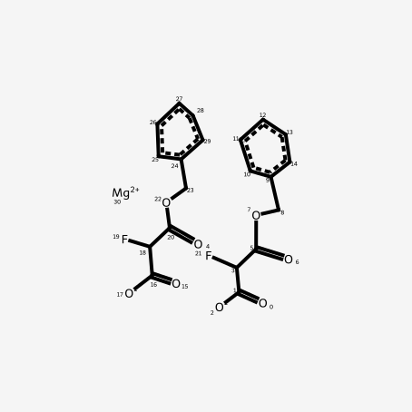 O=C([O-])C(F)C(=O)OCc1ccccc1.O=C([O-])C(F)C(=O)OCc1ccccc1.[Mg+2]